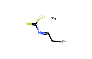 CCCCC=NC(=S)S.[Zn]